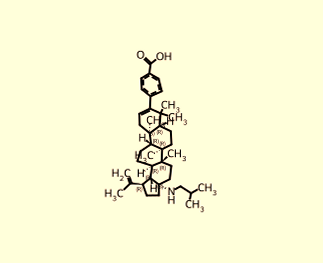 C=C(C)[C@@H]1CC[C@]2(NCC(C)C)CC[C@]3(C)[C@H](CC[C@@H]4[C@@]5(C)CC=C(c6ccc(C(=O)O)cc6)C(C)(C)[C@@H]5CC[C@]43C)[C@@H]12